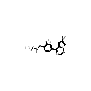 Cc1cc(-c2ncnn3cc(Br)cc23)ccc1CNC(=O)O